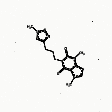 Cn1cc(CCCn2c(=O)c3c(ncn3C)n(C)c2=O)nn1